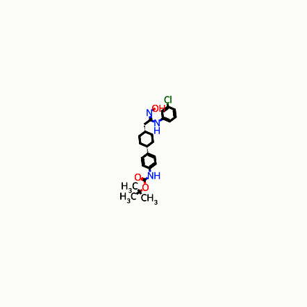 CC(C)(C)OC(=O)Nc1ccc([C@H]2CC[C@@H](C/C(=N/O)Nc3cccc(Cl)c3)CC2)cc1